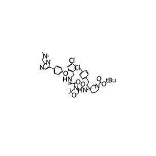 C[C@H](NCc1ccc(Cl)cc1Oc1ccc(-c2cnc(CN(C)C)n2C)cc1)C(=O)N1[C@H](C(=O)N[C@@]2(CCc3ccc(Cl)cc3)CCCN(C(=O)OC(C)(C)C)C2)COC1(C)C